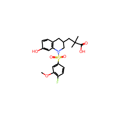 COc1cc(S(=O)(=O)N2CC(CC(C)(C)C(=O)O)Cc3ccc(O)cc32)ccc1F